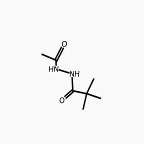 CC(=O)NNC(=O)C(C)(C)C